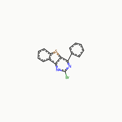 Brc1nc(-c2ccccc2)c2sc3ccccc3c2n1